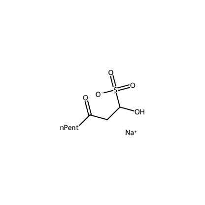 CCCCCC(=O)CC(O)S(=O)(=O)[O-].[Na+]